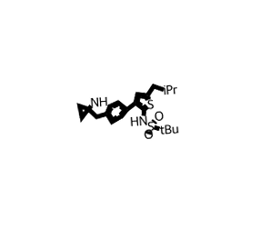 CC(C)Cc1cc(-c2ccc(CC3(N)CC3)cc2)c(NS(=O)(=O)C(C)(C)C)s1